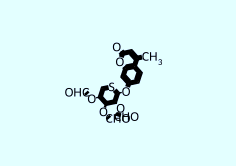 Cc1cc(=O)oc2cc(O[C@H]3SC[C@@H](OC=O)[C@H](OC=O)[C@H]3OC=O)ccc12